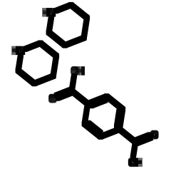 C1CCNCC1.C1CCNCC1.O=C(O)c1ccc(C(=O)O)cc1